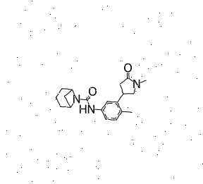 Cc1ccc(NC(=O)N2C3CCCC2C3)cc1C1CC(=O)N(C)C1